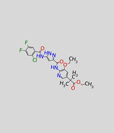 CCOC(=O)C(C)(C)c1cnc(NC(=O)c2cc(NC(=O)c3cc(F)c(F)cc3Cl)[nH]n2)c(OCC)c1